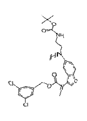 CN(C(=O)OCc1cc(Cl)cc(Cl)c1)c1coc2ccc(NCCNC(=O)OC(C)(C)C)cc12